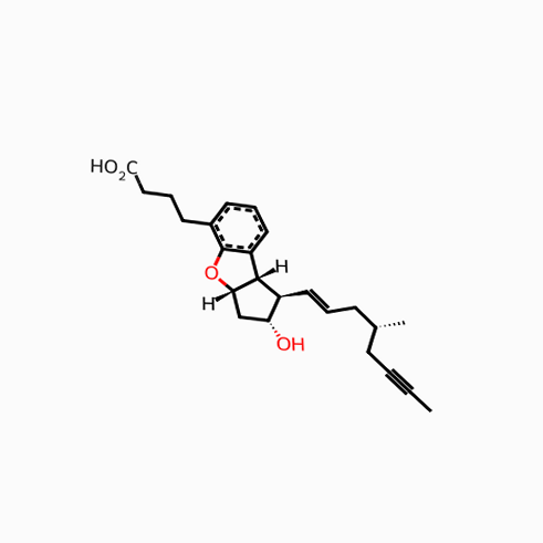 CC#CC[C@@H](C)C/C=C/[C@@H]1[C@H]2c3cccc(CCCC(=O)O)c3O[C@H]2C[C@H]1O